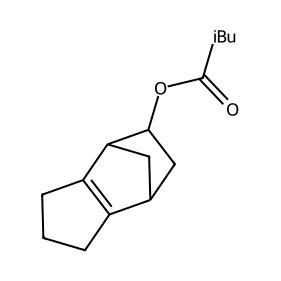 CCC(C)C(=O)OC1CC2CC1C1=C2CCC1